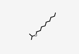 CCCCCCCC[CH]OC(C)C